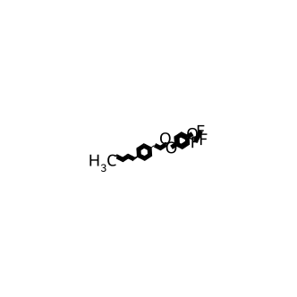 CCCCC[C@H]1CC[C@H](CCC(=O)Oc2ccc(OC(F)(F)F)cc2)CC1